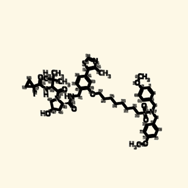 COc1ccc(CN(Cc2ccc(OC)cc2)S(=O)(=O)CCCCCCCCOc2cc(-c3scnc3C)ccc2CNC(=O)[C@@H]2C[C@@H](O)CN2C(=O)[C@@H](NC(=O)C2(F)CC2)C(C)(C)C)cc1